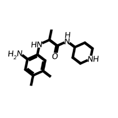 Cc1cc(N)c(NC(C)C(=O)NC2CCNCC2)cc1C